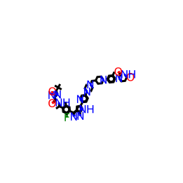 Cc1cc(-c2ncnc3[nH]c(-c4ccc(N5CCN(CC6CCN(c7ccc(N8CCC(=O)NC8=O)c(C)c7)CC6)CC5)cn4)cc23)c(F)cc1C(C)NC(=O)c1noc(C(C)(C)C)n1